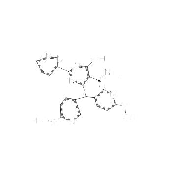 COc1ccc(C(c2ccc(OC)nc2)c2nc(-c3cccnn3)nc(O)c2C(N)=O)cn1